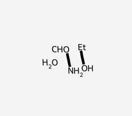 CCO.NC=O.O